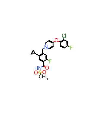 CS(=O)(=O)NC(=O)c1cc(C2CC2)c(CN2C=CC(Oc3ccc(F)cc3Cl)=CC2)cc1F